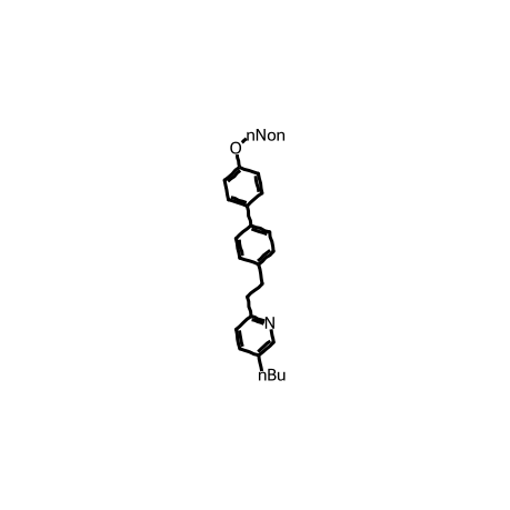 CCCCCCCCCOc1ccc(-c2ccc(CCc3ccc(CCCC)cn3)cc2)cc1